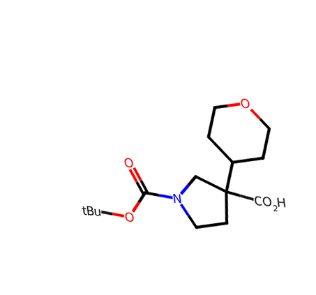 CC(C)(C)OC(=O)N1CCC(C(=O)O)(C2CCOCC2)C1